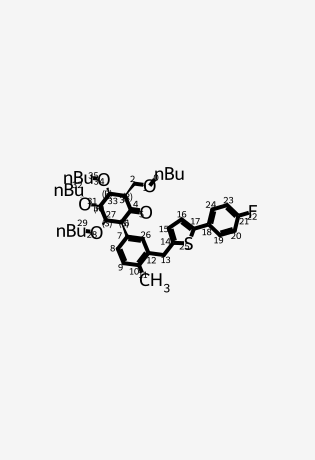 CCCCOC[C@H]1C(=O)[C@@H](c2ccc(C)c(Cc3ccc(-c4ccc(F)cc4)s3)c2)[C@H](OCCCC)[C@@H](OCCCC)[C@@H]1OCCCC